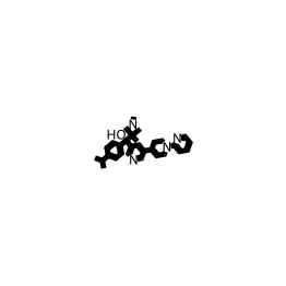 CC(C)c1ccc([C@](O)(c2cncc(C3=CCN(c4ccccn4)CC3)c2)C2(C)CN(C)C2)cc1